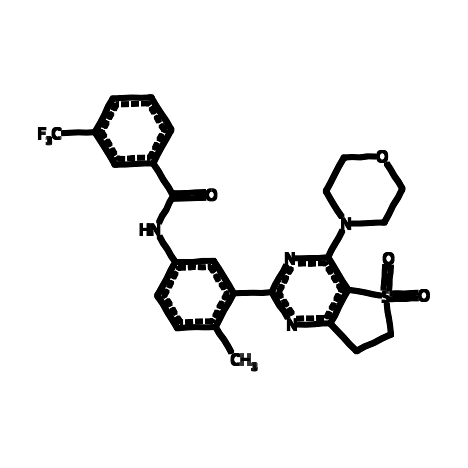 Cc1ccc(NC(=O)c2cccc(C(F)(F)F)c2)cc1-c1nc2c(c(N3CCOCC3)n1)S(=O)(=O)CC2